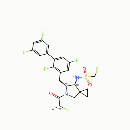 C[C@@H](F)C(=O)N1CC2(CC2)[C@H](NS(=O)(=O)CF)[C@@H]1Cc1cc(F)cc(-c2cc(F)cc(F)c2)c1F